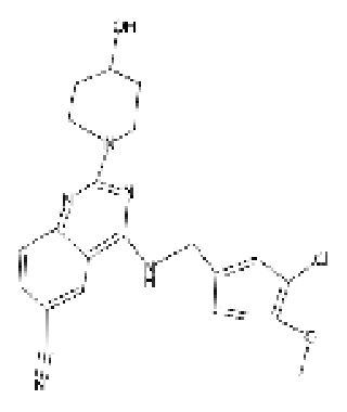 COc1ccc(CNc2nc(N3CCC(O)CC3)nc3ccc(C#N)cc23)cc1Cl